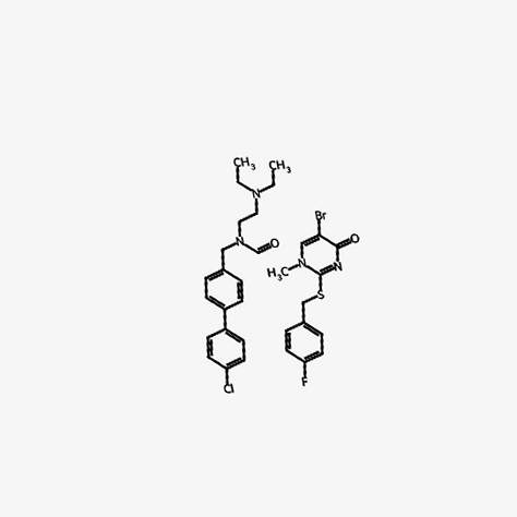 CCN(CC)CCN(C=O)Cc1ccc(-c2ccc(Cl)cc2)cc1.Cn1cc(Br)c(=O)nc1SCc1ccc(F)cc1